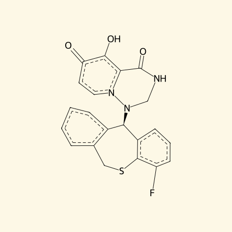 O=C1NCN([C@@H]2c3ccccc3CSc3c(F)cccc32)n2ccc(=O)c(O)c21